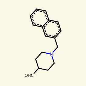 O=CC1CCN(Cc2ccc3ccccc3c2)CC1